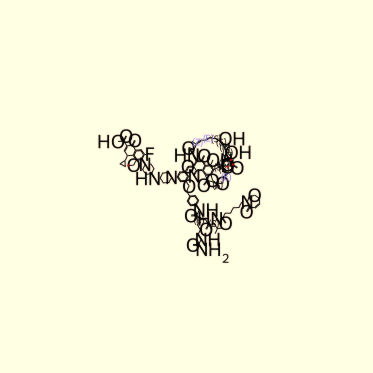 COc1c2c(cc(F)c1N1CCC(NC3CCN(c4cc(OCc5ccc(NC(=O)[C@H](CCCNC(N)=O)CC(=O)[C@@H](NC(=O)CCCCCN6COCC=CC6=O)C(C)C)cc5)c5nc6c7c8c9c%10c(O)c7c(=O)c(c-6oc5c4)NC(=O)/C(C)=C\C=C\[C@H](C)[C@H](O)[C@@H](C)[C@@H](O)[C@@H](C)[C@H](OC(C)=O)[C@]%10(C)[C@@H](OC)/C=C/O[C@@](C)(O9)C8=O)CC3)CC1)C(=O)C(C(=O)O)=CC2C1CC1